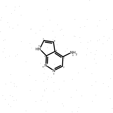 Nc1cnnc2[nH]ccc12